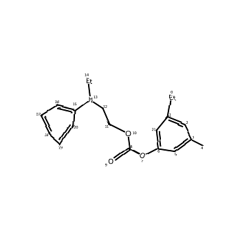 CCc1cc(C)cc(OC(=O)OCCN(CC)c2ccccc2)c1